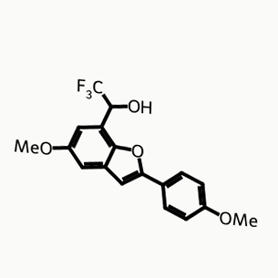 COc1ccc(-c2cc3cc(OC)cc(C(O)C(F)(F)F)c3o2)cc1